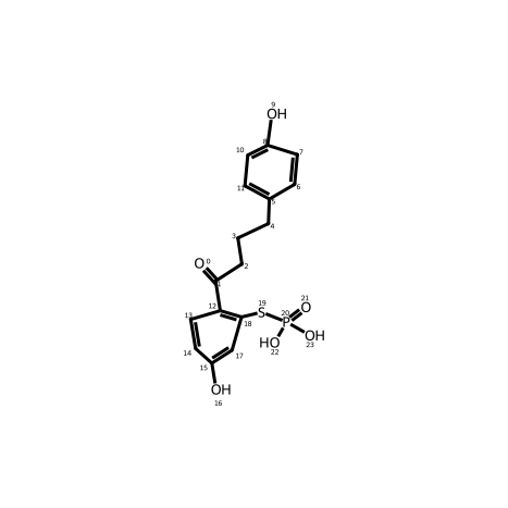 O=C(CCCc1ccc(O)cc1)c1ccc(O)cc1SP(=O)(O)O